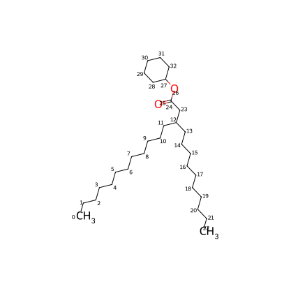 CCCCCCCCCCCCC(CCCCCCCCCC)CC(=O)OC1CCCCC1